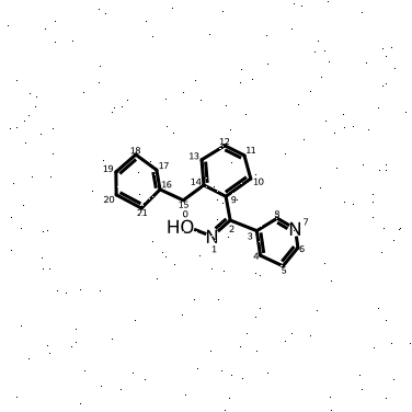 ON=C(c1cccnc1)c1ccccc1Cc1ccccc1